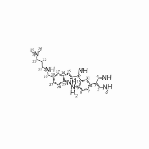 CN/C=C(\C=N)c1ccc(N)c(C(=N)c2cc3cc(CNCCCN(C)C)ccc3[nH]2)c1